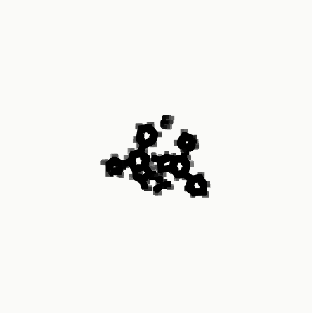 CC1=Cc2c(cc(-c3ccccc3)cc2-n2ccnc2)[C@@H]1[Zr+2]([C@H]1C(C)=Cc2c1cc(-c1ccccc1)cc2-n1ccnc1)=[Si](C)C.[Cl-].[Cl-]